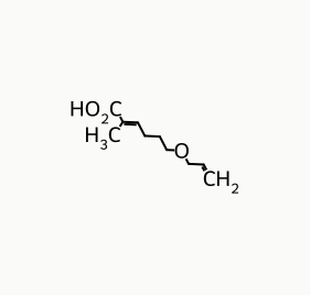 C=CCOCCCC=C(C)C(=O)O